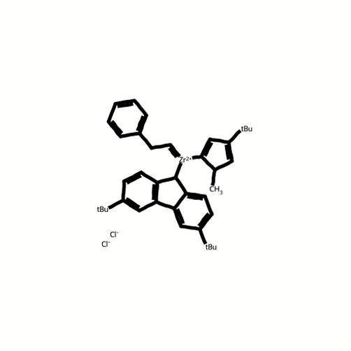 CC1C=C(C(C)(C)C)C=[C]1/[Zr+2](=[CH]/Cc1ccccc1)[CH]1c2ccc(C(C)(C)C)cc2-c2cc(C(C)(C)C)ccc21.[Cl-].[Cl-]